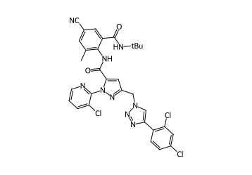 Cc1cc(C#N)cc(C(=O)NC(C)(C)C)c1NC(=O)c1cc(Cn2cc(-c3ccc(Cl)cc3Cl)nn2)nn1-c1ncccc1Cl